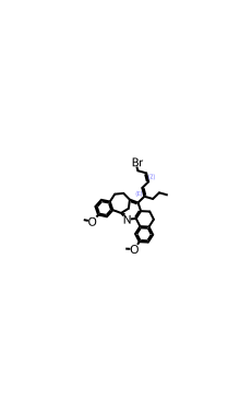 CCC/C(=C\C=C/CBr)C1=C2CCc3ccc(OC)cc3C(=NC3=C1CCc1ccc(OC)cc13)C2